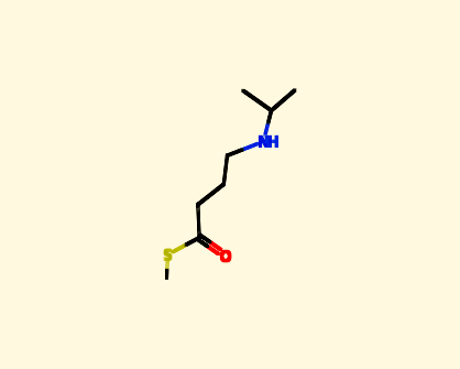 CSC(=O)CCCNC(C)C